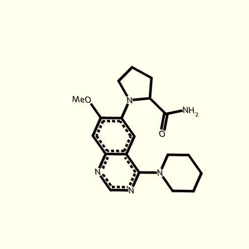 COc1cc2ncnc(N3CCCCC3)c2cc1N1CCCC1C(N)=O